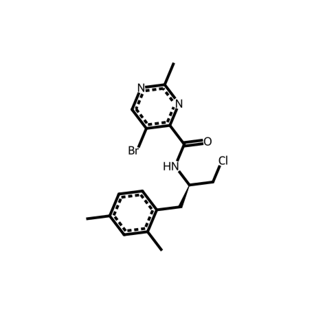 Cc1ccc(C[C@H](CCl)NC(=O)c2nc(C)ncc2Br)c(C)c1